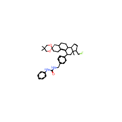 CC1(C)COC2(CCC3=C4C(c5ccc(CNC(=O)Nc6ccccc6)cc5)CC5(C)C(CF)CCC5C4CCC3C2)OC1